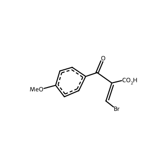 COc1ccc(C(=O)C(=CBr)C(=O)O)cc1